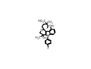 CC1(C)CO[C@]2(CC[C@](C)(C(=O)O)CC2)c2c1n(-c1ccc(F)cc1)c1cccc(O)c12